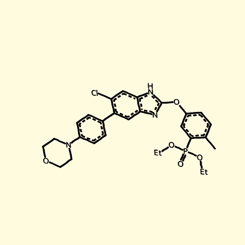 CCOP(=O)(OCC)c1cc(Oc2nc3cc(-c4ccc(N5CCOCC5)cc4)c(Cl)cc3[nH]2)ccc1C